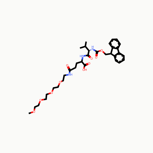 COCCOCCOCCOCCNC(=O)CCC(NC(=O)[C@@H](NC(=O)OCC1c2ccccc2-c2ccccc21)C(C)C)C(=O)O